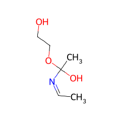 C/C=N\C(C)(O)OCCO